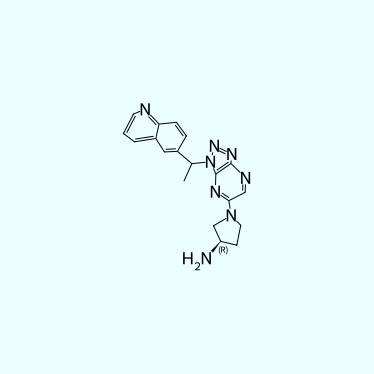 CC(c1ccc2ncccc2c1)n1nnc2ncc(N3CC[C@@H](N)C3)nc21